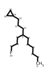 CCCCCCC(CCCF)CCCC1CC1